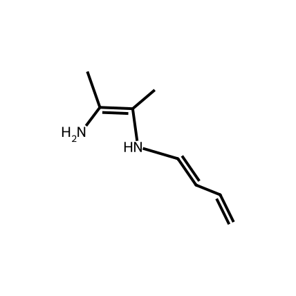 C=C/C=C/N/C(C)=C(/C)N